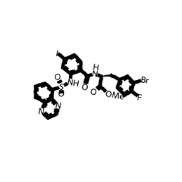 COC(=O)[C@H](Cc1ccc(F)c(Br)c1)NC(=O)c1ccc(I)cc1NS(=O)(=O)c1cccc2nccnc12